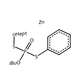 CCCCCCCSP(=O)(OCC(C)C)Sc1ccccc1.[Zn]